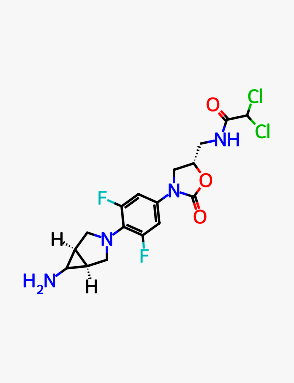 NC1[C@H]2CN(c3c(F)cc(N4C[C@H](CNC(=O)C(Cl)Cl)OC4=O)cc3F)C[C@@H]12